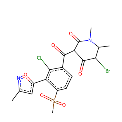 Cc1cc(-c2c(S(C)(=O)=O)ccc(C(=O)C3C(=O)C(Br)C(C)N(C)C3=O)c2Cl)on1